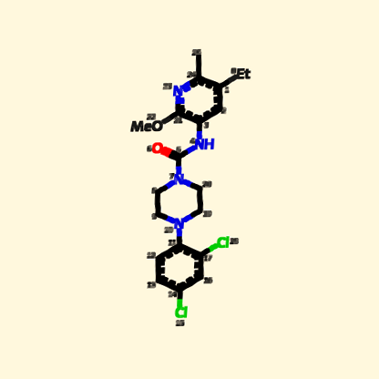 CCc1cc(NC(=O)N2CCN(c3ccc(Cl)cc3Cl)CC2)c(OC)nc1C